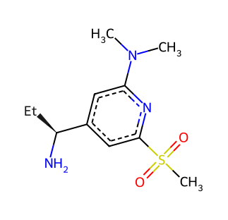 CC[C@H](N)c1cc(N(C)C)nc(S(C)(=O)=O)c1